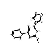 Clc1nc(-c2ccccc2)nc(-c2ccoc2)n1